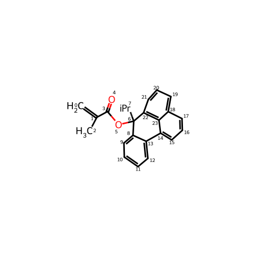 C=C(C)C(=O)OC1(C(C)C)c2ccccc2-c2cccc3cccc1c23